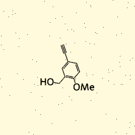 C#Cc1ccc(OC)c(CO)c1